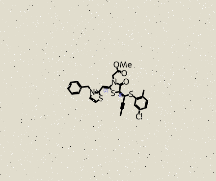 CC#C/C(Sc1cc(Cl)ccc1C)=c1\s/c(=C\c2scc[n+]2Cc2ccccc2)n(CC(=O)OC)c1=O